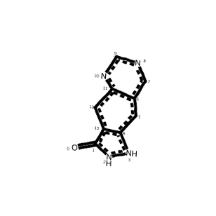 O=c1[nH][nH]c2cc3cn[c]nc3cc12